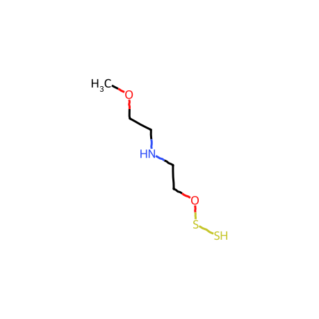 COCCNCCOSS